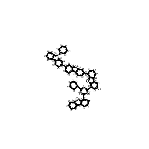 c1ccc(-c2nc(-c3cccc4c3oc3ccccc34)nc(-c3cccc4c3oc3c(-c5ccc6c(c5)oc5cc(-c7ccc8c9ccccc9n(-c9ccccc9)c8c7)ccc56)cccc34)n2)cc1